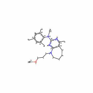 CCCOCCCN1CCCCc2c(C)nc(N(CC)c3c(C)cc(C)cc3C)nc21